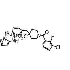 CCOC(=O)C1(Cc2cccc(Nc3ccnn3C(C)(C)C)n2)CCN(C(=O)c2cccc(Cl)c2F)CC1